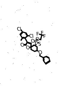 Cc1cc(Cl)cc(Cl)c1C1=C(OP(C)(=S)OCC(F)(F)F)C2(CCC(OCc3ccccc3)CC2)OC1=O